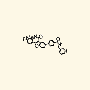 CNC(=O)c1c(-c2ccc(F)cc2)oc2ccc(-c3ccc(C(=O)N(C)Cc4cccnc4)cc3)cc12